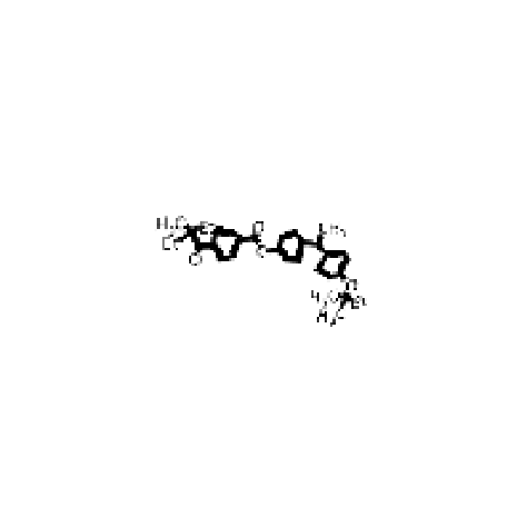 CCC(C)(C)Oc1ccc(C(C)c2ccc(OC(=O)c3ccc(C(=O)C(C)(CC)CC)cc3)cc2)cc1